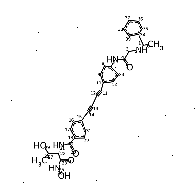 C[C@@H](NCC(=O)Nc1ccc(C#CC#Cc2ccc(C(=O)N[C@H](C(=O)NO)[C@@H](C)O)cc2)cc1)c1ccccc1